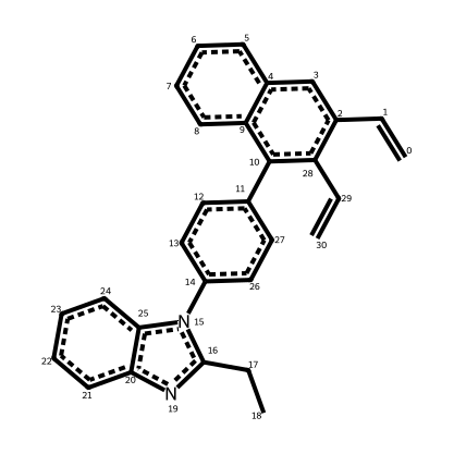 C=Cc1cc2ccccc2c(-c2ccc(-n3c(CC)nc4ccccc43)cc2)c1C=C